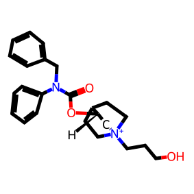 O=C(O[C@H]1C[N+]2(CCCO)CCC1CC2)N(Cc1ccccc1)c1ccccc1